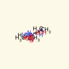 CCOC(=O)C1=C(C)NC(C#N)(N2CCN(CCc3ccc(OCC(O)CNC(C)C)cc3)CC2)C(C(=O)OC)C1c1cccc([N+](=O)[O-])c1